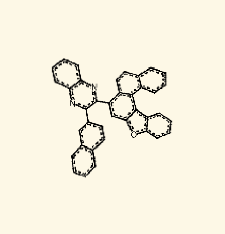 c1ccc2cc(-c3nc4ccccc4nc3-c3cc4oc5ccccc5c4c4c3ccc3ccccc34)ccc2c1